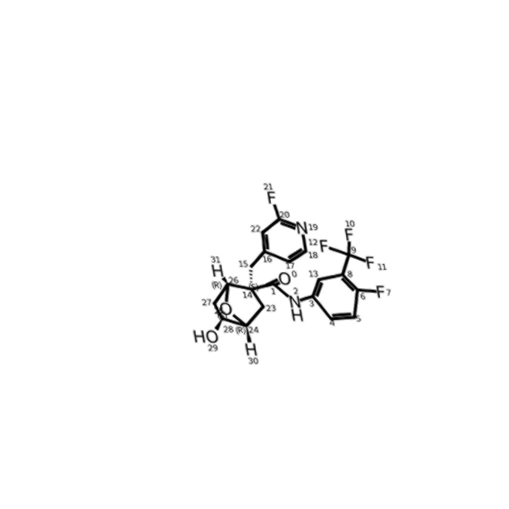 O=C(Nc1ccc(F)c(C(F)(F)F)c1)[C@@]1(Cc2ccnc(F)c2)C[C@H]2O[C@@H]1C[C@@H]2O